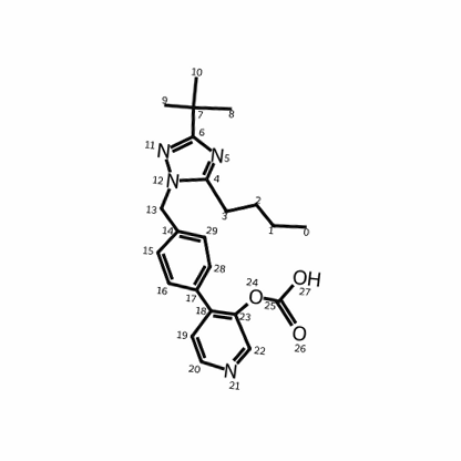 CCCCc1nc(C(C)(C)C)nn1Cc1ccc(-c2ccncc2OC(=O)O)cc1